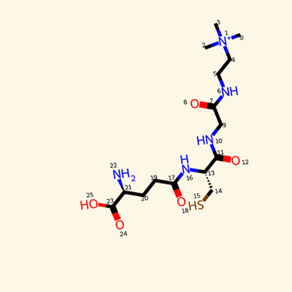 C[N+](C)(C)CCNC(=O)CNC(=O)[C@H](CS)NC(=O)CC[C@H](N)C(=O)O